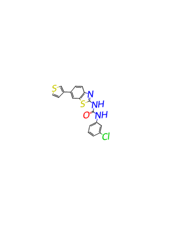 O=C(Nc1cccc(Cl)c1)Nc1nc2ccc(-c3ccsc3)cc2s1